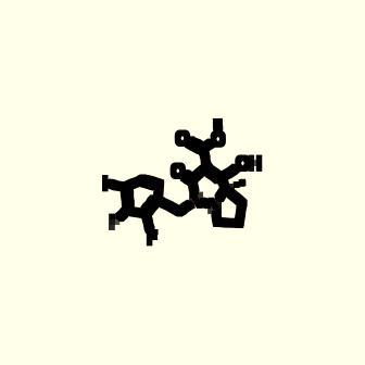 COC(=O)C1=C(O)[C@@]2(C)CCCN2N(Cc2ccc(I)c(F)c2F)C1=O